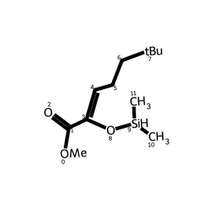 COC(=O)C(=CCCC(C)(C)C)O[SiH](C)C